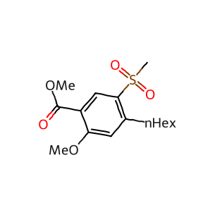 CCCCCCc1cc(OC)c(C(=O)OC)cc1S(C)(=O)=O